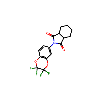 O=C1C2CCCCC2C(=O)N1c1ccc2c(c1)OC(F)(F)C(F)(F)O2